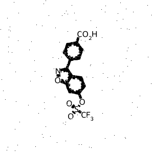 O=C(O)c1ccc(-c2noc3cc(OS(=O)(=O)C(F)(F)F)ccc23)cc1